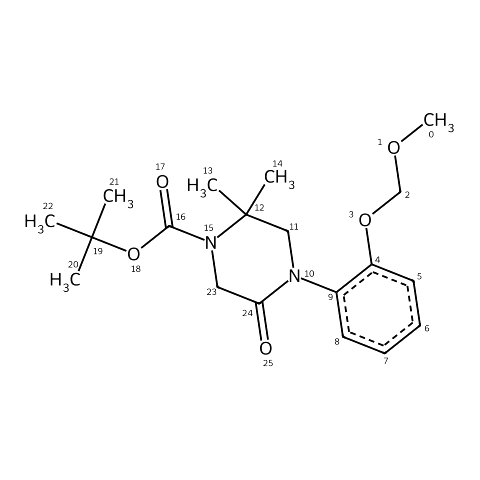 COCOc1ccccc1N1CC(C)(C)N(C(=O)OC(C)(C)C)CC1=O